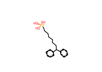 O[PH](O)(O)CCCCCCCC(c1ccccc1)c1ccccc1